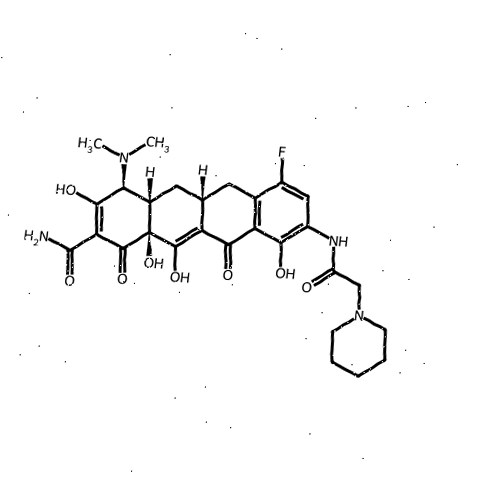 CN(C)[C@@H]1C(O)=C(C(N)=O)C(=O)[C@@]2(O)C(O)=C3C(=O)c4c(O)c(NC(=O)CN5CCCCC5)cc(F)c4C[C@H]3C[C@@H]12